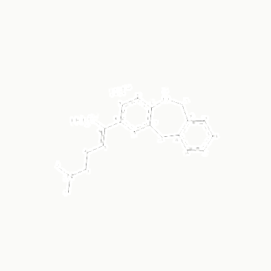 CN(C)CCC=C(C(=O)O)c1ccc2c(c1)Cc1ccccc1CO2.Cl